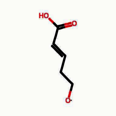 [O]CCC=CC(=O)O